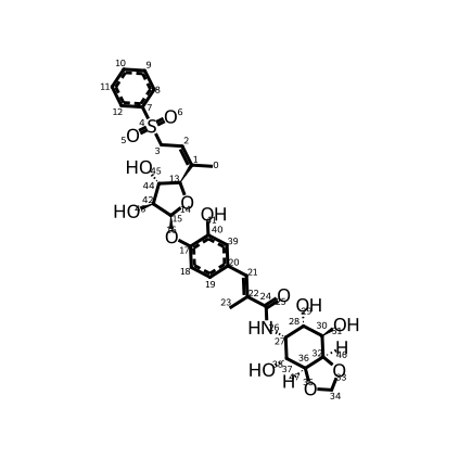 C/C(=C/CS(=O)(=O)c1ccccc1)[C@H]1O[C@@H](Oc2ccc(/C=C(\C)C(=O)N[C@@H]3[C@H](O)[C@@H](O)[C@H]4OCO[C@H]4[C@@H]3O)cc2O)[C@@H](O)[C@@H]1O